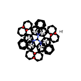 [Hf].c1cc[c]([Ge]([c]2ccccc2)([c]2ccccc2)[N](C([N]([Ge]([c]2ccccc2)([c]2ccccc2)[c]2ccccc2)[Ge]([c]2ccccc2)([c]2ccccc2)[c]2ccccc2)[N]([Ge]([c]2ccccc2)([c]2ccccc2)[c]2ccccc2)[Ge]([c]2ccccc2)([c]2ccccc2)[c]2ccccc2)[Ge]([c]2ccccc2)([c]2ccccc2)[c]2ccccc2)cc1